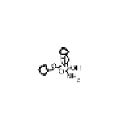 NCC(O)C(Cc1ccccc1)NC(=O)OCc1ccccc1